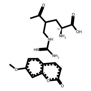 CC(=O)C(CNC(=N)N)C[C@H](N)C(=O)O.COc1ccc2ccc(=O)oc2c1